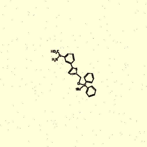 CC(C)(C)[Si](OCc1ccc(-c2cccc(N(N)C(=O)O)c2)s1)(c1ccccc1)c1ccccc1